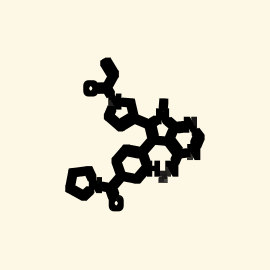 C=CC(=O)N1CC=C(c2c(C3=CCC(C(=O)N4CCCC4)CC3)c3c(N)ncnc3n2C)C1